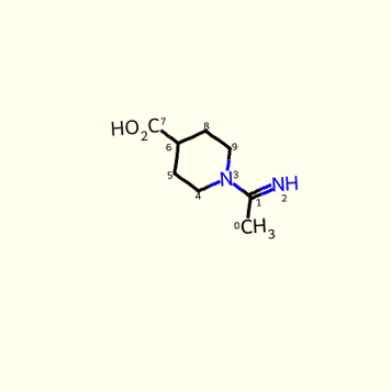 CC(=N)N1CCC(C(=O)O)CC1